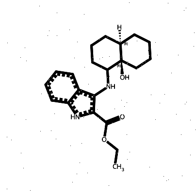 CCOC(=O)c1[nH]c2ccccc2c1NC1CCC[C@H]2CCCC[C@]12O